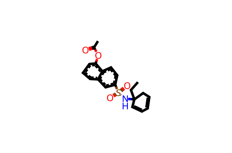 CCC1(NS(=O)(=O)c2ccc3c(OC(C)=O)cccc3c2)C=CC=CC1